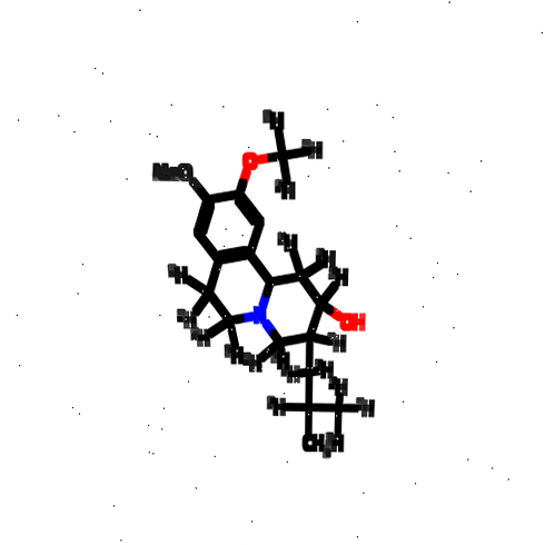 [2H]C([2H])([2H])Oc1cc2c(cc1OC)C([2H])([2H])C([2H])([2H])N1C2C([2H])([2H])C([2H])(O)C([2H])(C([2H])([2H])C([2H])(C)C([2H])([2H])[2H])C1([2H])[2H]